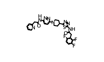 O=C(Cc1ccccn1)Nc1ccc(N2CCC(c3nnc(NC(=O)Cc4c(F)ccc(F)c4F)s3)CC2)nn1